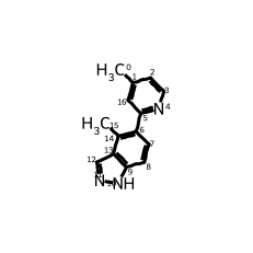 Cc1ccnc(-c2ccc3[nH]ncc3c2C)c1